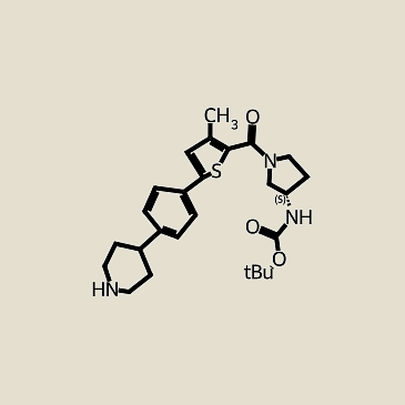 Cc1cc(-c2ccc(C3CCNCC3)cc2)sc1C(=O)N1CC[C@H](NC(=O)OC(C)(C)C)C1